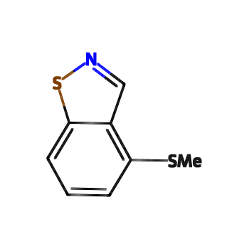 CSc1cccc2sncc12